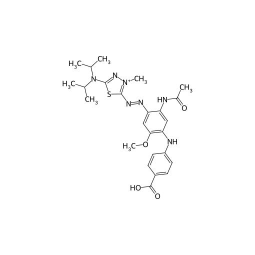 COc1cc(N=Nc2sc(N(C(C)C)C(C)C)n[n+]2C)c(NC(C)=O)cc1Nc1ccc(C(=O)O)cc1